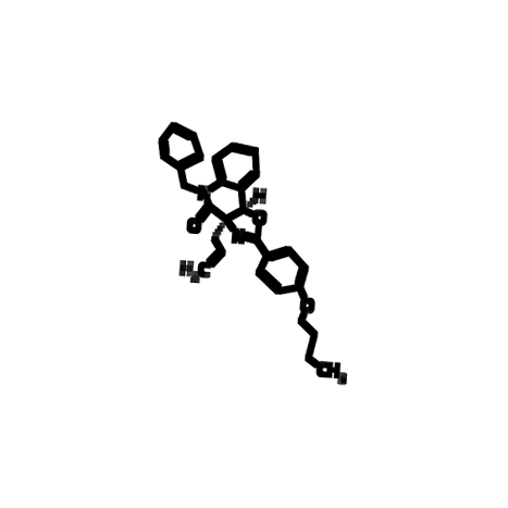 C=CC[C@@]12N=C(c3ccc(OCCCC)cc3)O[C@@H]1c1ccccc1N(Cc1ccccc1)C2=O